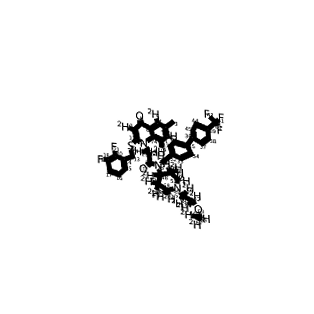 [2H]c1c(C)c([2H])c2c(=O)c([2H])c(SCc3cccc(F)c3F)n(C([2H])([2H])C(=O)N(C([2H])([2H])c3ccc(-c4ccc(C(F)(F)F)cc4)cc3)C3([2H])C([2H])([2H])C([2H])([2H])N(C([2H])([2H])C([2H])([2H])OC([2H])([2H])[2H])C([2H])([2H])C3([2H])[2H])c2c1[2H]